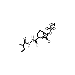 CCC(C)C(=O)NNC(=O)C1CCC2CN1C(=O)N2OS(=O)(=O)O